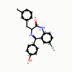 Cc1cccc(CC2N=C(c3ccc(O)cc3)c3cc(Cl)ccc3NC2=O)c1